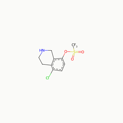 O=S(=O)(Oc1ccc(Cl)c2c1CNCC2)C(F)(F)F